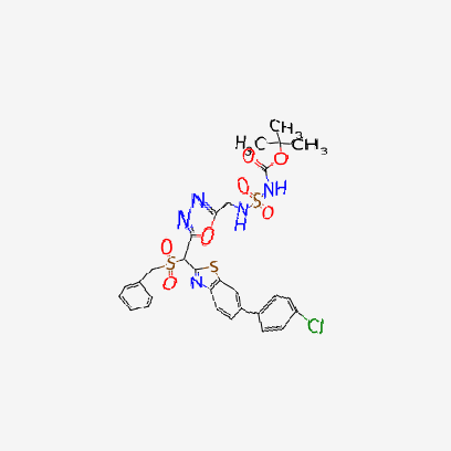 CC(C)(C)OC(=O)NS(=O)(=O)NCc1nnc(C(c2nc3ccc(-c4ccc(Cl)cc4)cc3s2)S(=O)(=O)Cc2ccccc2)o1